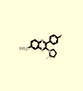 CCOC(=O)c1ccc2nc(-c3ccc(F)cc3)c(N3CCC[C@@H]3C)nc2c1